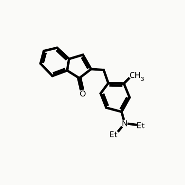 CCN(CC)c1ccc(CC2=Cc3ccccc3C2=O)c(C)c1